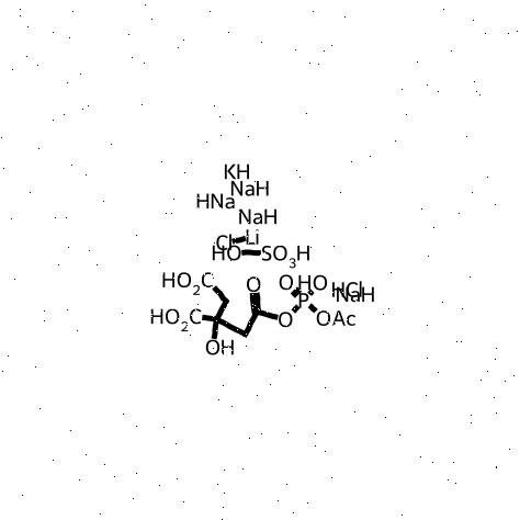 CC(=O)OP(=O)(O)OC(=O)CC(O)(CC(=O)O)C(=O)O.Cl.O=S(=O)(O)O.[KH].[Li][Cl].[NaH].[NaH].[NaH].[NaH]